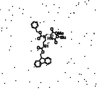 COC(=O)[C@@H](CN(CCNC(=O)OCC1c2ccccc2-c2ccccc21)C(=O)OCc1ccccc1)NC(=O)OC(C)(C)C